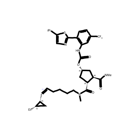 CC[C@H]1C[C@H]1/C=C\CCCCN(C)C(=O)[C@@H]1C[C@H](OC(=O)Nc2cc(C(F)(F)F)ccc2-c2ncc(C(C)C)s2)C[C@H]1C(=O)NC